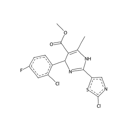 COC(=O)C1=C(C)NC(c2cnc(Cl)s2)=NC1c1ccc(F)cc1Cl